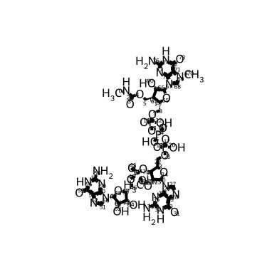 CNC(=O)OC[C@@H]1[C@@H](COP(=O)(O)OP(=O)(O)OP(=O)(O)OCC2O[C@@H](n3cnc4c(=O)[nH]c(N)nc43)[C@H](OC)[C@@H]2OP(=O)(O)OC[C@H]2O[C@@H](n3cnc4c(=O)[nH]c(N)nc43)[C@H](O)[C@@H]2O)OC(n2c[n+](C)c3c(=O)[nH]c(N)nc32)[C@@H]1O